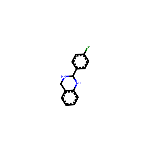 Brc1ccc(C2NCc3ccccc3N2)cc1